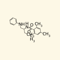 CCC(CNc1ccccc1)NS(=O)(=O)c1c(C)cc(C)cc1C